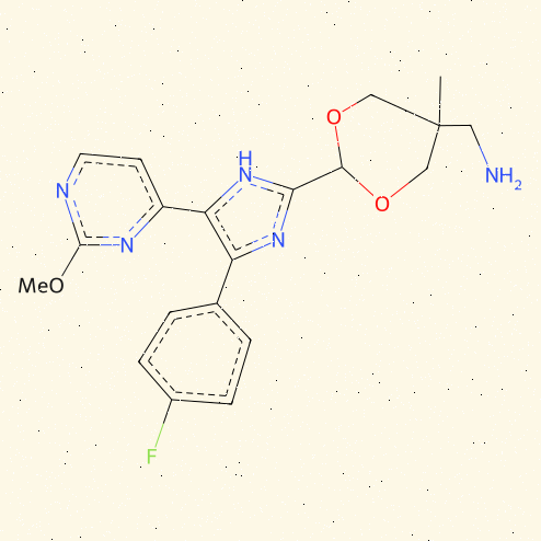 COc1nccc(-c2[nH]c(C3OCC(C)(CN)CO3)nc2-c2ccc(F)cc2)n1